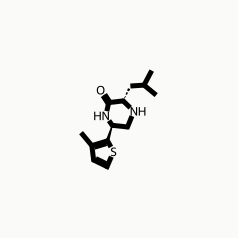 Cc1ccsc1[C@@H]1CN[C@@H](CC(C)C)C(=O)N1